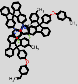 C=Cc1ccc(Oc2ccc(C3(c4cc(C)ccc4C)c4ccccc4-c4ccc(N(c5cccc(F)c5)c5ccc6c(c5)C5(c7ccccc7-6)c6ccccc6-c6ccc(N(c7cccc(F)c7)c7ccc8c(c7)C(c7ccc(Oc9ccc(C=C)cc9)cc7)(c7cc(C)ccc7C)c7ccccc7-8)cc65)cc43)cc2)cc1